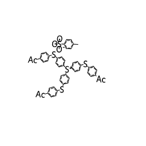 CC(=O)c1ccc(Sc2ccc([S+](c3ccc(Sc4ccc(C(C)=O)cc4)cc3)c3ccc(Sc4ccc(C(C)=O)cc4)cc3)cc2)cc1.Cc1ccc(S(=O)(=O)[O-])cc1